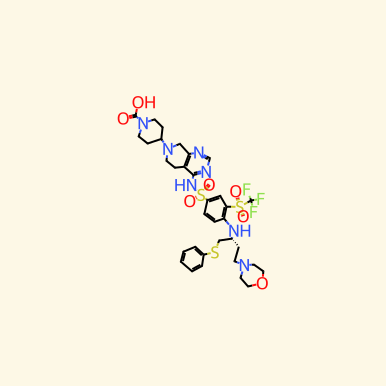 O=C(O)N1CCC(N2CCc3c(ncnc3NS(=O)(=O)c3ccc(N[C@H](CCN4CCOCC4)CSc4ccccc4)c(S(=O)(=O)C(F)(F)F)c3)C2)CC1